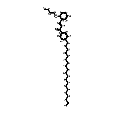 CCCCCCCCCCCCCCCCCCCCc1ccc(C(=S)C=Cc2ccccc2OCCCC)cc1